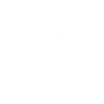 CC1CC(=O)NN=C1c1ccc(NC(=O)Oc2cccc(C(F)(F)F)c2)cc1